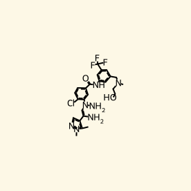 Cc1c(/C(N)=C/N(N)c2cc(C(=O)Nc3cc(CN(C)CCO)cc(C(F)(F)F)c3)ccc2Cl)cnn1C